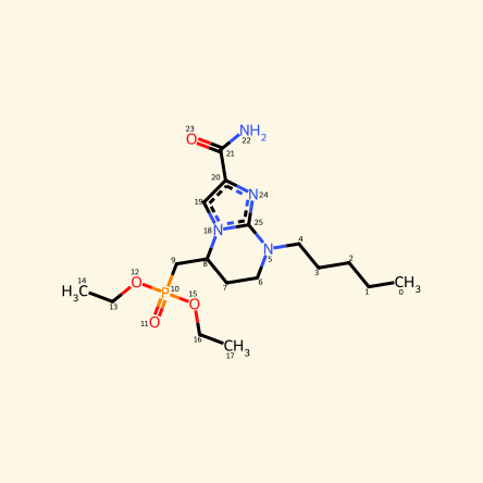 CCCCCN1CCC(CP(=O)(OCC)OCC)n2cc(C(N)=O)nc21